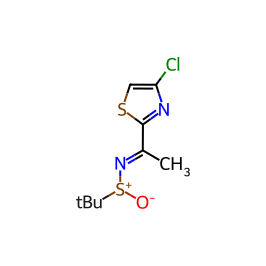 C/C(=N\[S+]([O-])C(C)(C)C)c1nc(Cl)cs1